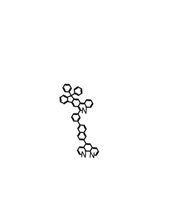 c1ccc(C2(c3ccccc3)c3ccccc3-c3cc4c(-c5cccc(-c6ccc7cc(-c8cc9cccnc9c9ncccc89)ccc7c6)c5)nc5ccccc5c4cc32)cc1